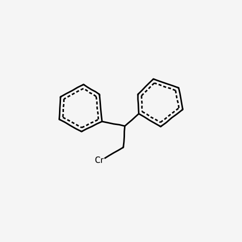 [Cr][CH2]C(c1ccccc1)c1ccccc1